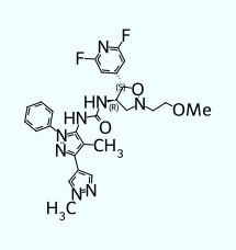 COCCN1C[C@@H](NC(=O)Nc2c(C)c(-c3cnn(C)c3)nn2-c2ccccc2)[C@H](c2cc(F)nc(F)c2)O1